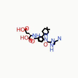 CC1(C)CC=C(c2cc(C(=O)N[C@H](CCC(=O)O)C(=O)O)ccc2NC(=O)c2nc(C#N)c[nH]2)CC1